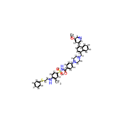 CCOc1cncc(-c2ccc(CN3CCN(c4ccc(C(=O)NS(=O)(=O)c5ccc(NCCSc6ccccc6)c(C(F)(F)F)c5)cc4)CC3)c3ccccc23)c1